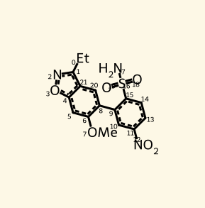 CCc1noc2cc(OC)c(-c3cc([N+](=O)[O-])ccc3S(N)(=O)=O)cc12